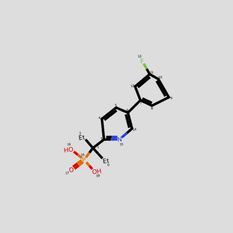 CCC(CC)(c1ccc(-c2cccc(F)c2)cn1)P(=O)(O)O